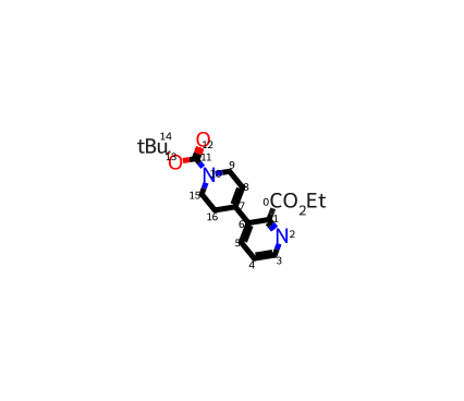 CCOC(=O)c1ncccc1C1=CCN(C(=O)OC(C)(C)C)CC1